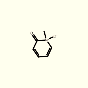 C[N+]1([O-])C=CC=[C]C1=O